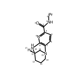 CC(C)NC(=O)c1ccc2c(n1)N[C@H]1CCCN2C1